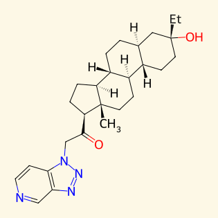 CC[C@@]1(O)CC[C@H]2[C@@H](CC[C@@H]3[C@@H]2CC[C@]2(C)[C@@H](C(=O)Cn4nnc5cnccc54)CC[C@@H]32)C1